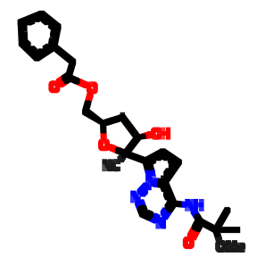 COC(C)(C)C(=O)Nc1ncnn2c([C@]3(C#N)O[C@@H](COC(=O)Cc4ccccc4)[CH][C@H]3O)ccc12